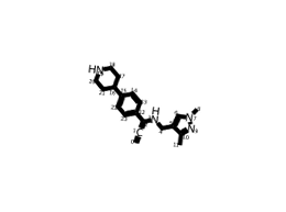 C=C=C(NCc1cn(C)nc1C)c1ccc(C2CCNCC2)cc1